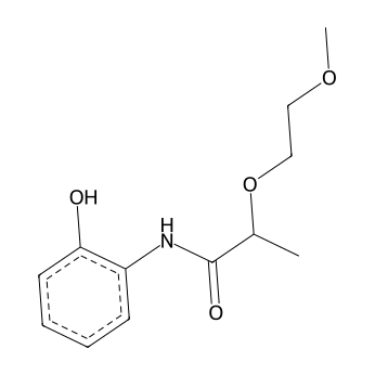 COCCOC(C)C(=O)Nc1ccccc1O